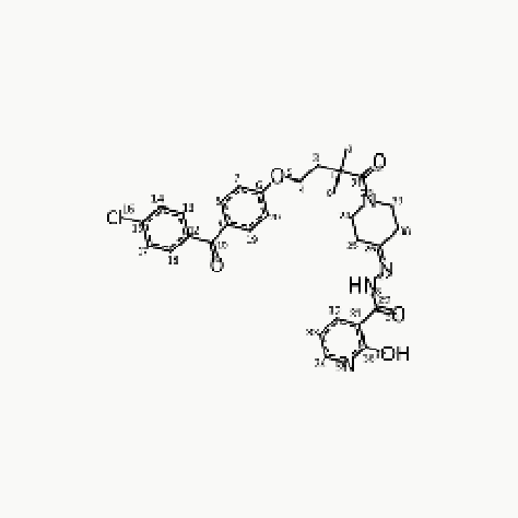 CC(C)(CCOc1ccc(C(=O)c2ccc(Cl)cc2)cc1)C(=O)N1CCC(=NNC(=O)c2cccnc2O)CC1